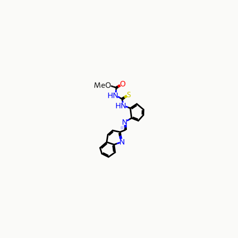 COC(=O)NC(=S)Nc1ccccc1/N=C/c1ccc2ccccc2n1